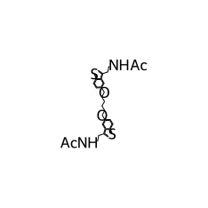 CC(=O)NCCc1csc2ccc(OCCCCOc3ccc4scc(CCNC(C)=O)c4c3)cc12